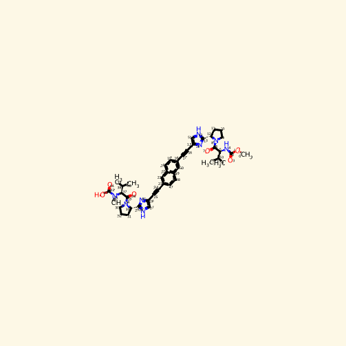 COC(=O)N[C@H](C(=O)N1CCC[C@H]1c1nc(C#Cc2ccc3cc(C#Cc4c[nH]c([C@@H]5CCCN5C(=O)[C@H](C(C)C)N(C)C(=O)O)n4)ccc3c2)c[nH]1)C(C)C